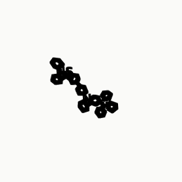 c1ccc(-n2c3ccccc3c3c4cc(-c5ccc(-n6c7ccccc7c7cc([Si](c8ccccc8)(c8ccccc8)c8ccccc8)ccc76)cc5)ccc4sc32)cc1